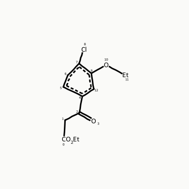 CCOC(=O)CC(=O)c1ccc(Cl)c(OCC)c1